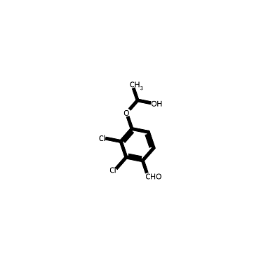 CC(O)Oc1ccc(C=O)c(Cl)c1Cl